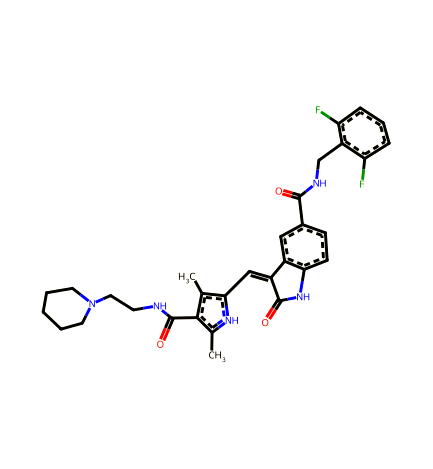 Cc1[nH]c(C=C2C(=O)Nc3ccc(C(=O)NCc4c(F)cccc4F)cc32)c(C)c1C(=O)NCCN1CCCCC1